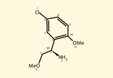 COC[C@H](N)c1cc(Cl)ccc1OC